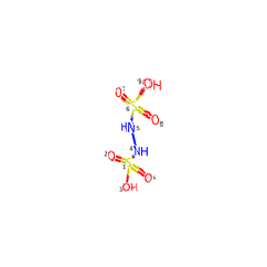 O=S(=O)(O)NNS(=O)(=O)O